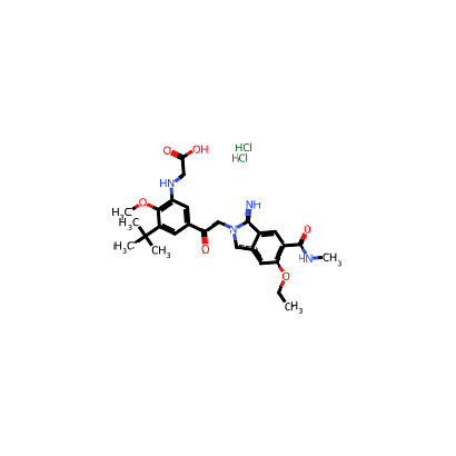 CCOc1cc2c(cc1C(=O)NC)C(=N)N(CC(=O)c1cc(NCC(=O)O)c(OC)c(C(C)(C)C)c1)C2.Cl.Cl